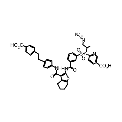 CC(CN=[N+]=[N-])N(c1ccc(C(=O)O)cn1)S(=O)(=O)c1cccc(C(=O)Nc2sc3c(c2C(=O)Nc2ccc(CCc4ccc(C(=O)O)cc4)cc2)CCCC3)c1